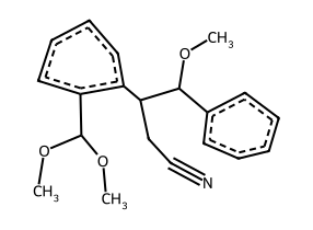 COC(OC)c1ccccc1C(CC#N)C(OC)c1ccccc1